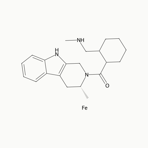 CNCC1CCCCC1C(=O)N1Cc2[nH]c3ccccc3c2C[C@H]1C.[Fe]